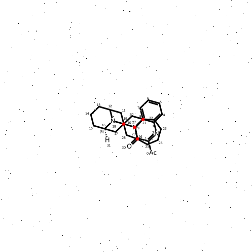 CC(=O)c1nc2ccccc2n(C2CC3CCC[C@H](C2)N3C2CC3CCCCC(C3)C2)c1=O